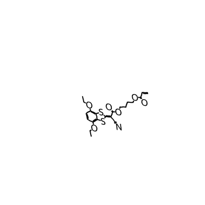 C=CC(=O)OCCCCOC(=O)C(C#N)=C1Sc2c(OCC)ccc(OCC)c2S1